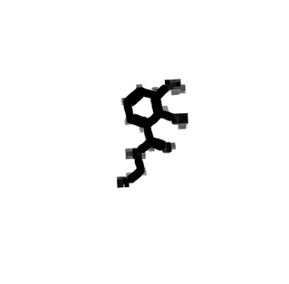 CC(C)CNC(=O)c1cccc(N)c1O